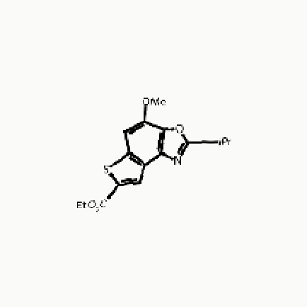 CCOC(=O)c1cc2c(cc(OC)c3oc(C(C)C)nc32)s1